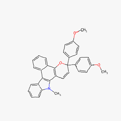 COc1ccc(C2(c3ccc(OC)cc3)C=Cc3c(c4ccccc4c4c5ccccc5n(C)c34)O2)cc1